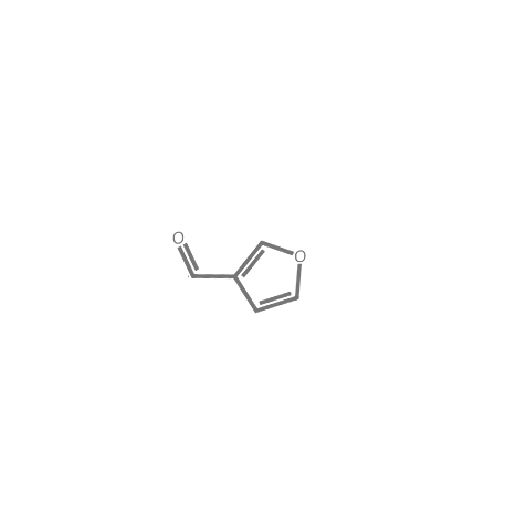 O=[C]c1ccoc1